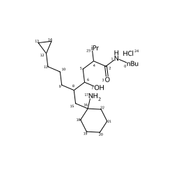 CCCCNC(=O)C(CC(O)C(CCCC1CC1)CC1(N)CCCCC1)C(C)C.Cl